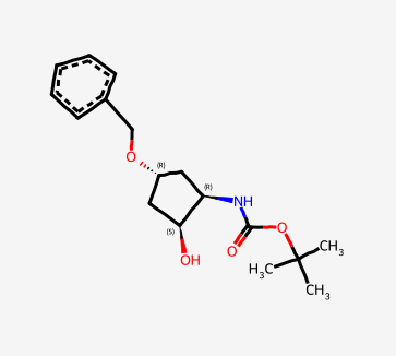 CC(C)(C)OC(=O)N[C@@H]1C[C@@H](OCc2ccccc2)C[C@@H]1O